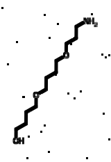 NCCCOCCCCOCCCCO